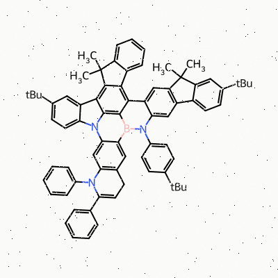 CC(C)(C)c1ccc(N2B3c4cc5c(cc4-n4c6ccc(C(C)(C)C)cc6c6c7c(c(c3c64)-c3cc4c(cc32)-c2ccc(C(C)(C)C)cc2C4(C)C)-c2ccccc2C7(C)C)N(c2ccccc2)C(c2ccccc2)=CC5)cc1